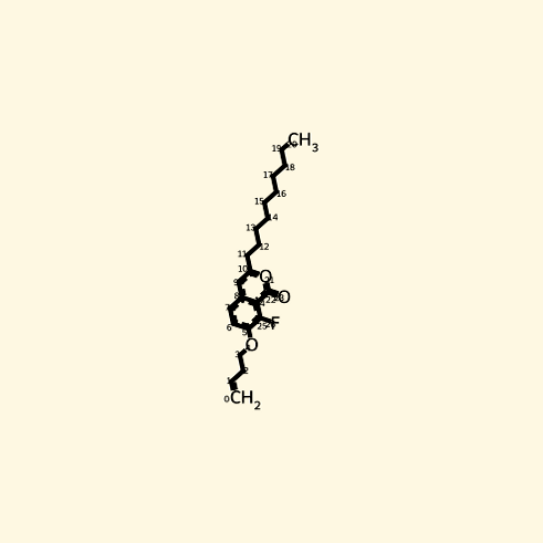 C=CCCOc1ccc2cc(CCCCCCCCCC)oc(=O)c2c1F